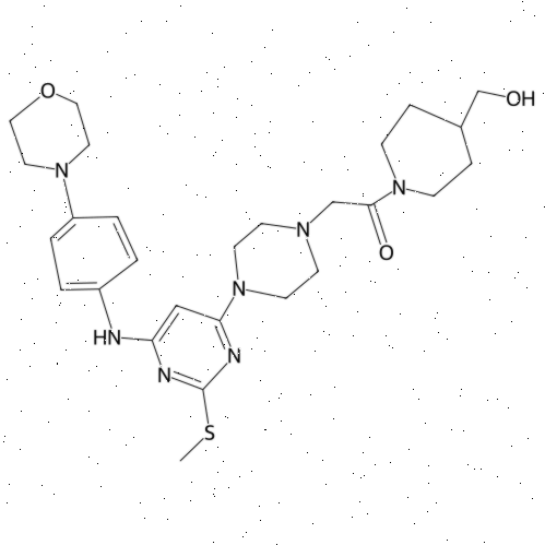 CSc1nc(Nc2ccc(N3CCOCC3)cc2)cc(N2CCN(CC(=O)N3CCC(CO)CC3)CC2)n1